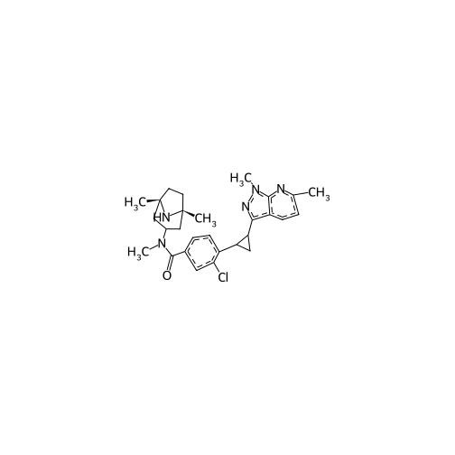 Cc1ccc2c(C3CC3c3ccc(C(=O)N(C)C4C[C@]5(C)CC[C@](C)(C4)N5)cc3Cl)nn(C)c2n1